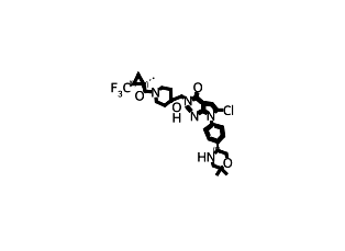 CC1(C)CN[C@@H](c2ccc(-n3c(Cl)cc4c(=O)n(CC5(O)CCN(C(=O)[C@]6(C)C[C@H]6C(F)(F)F)CC5)cnc43)cc2)CO1